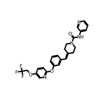 O=C(Nc1cccnc1)N1CCC(=Cc2cccc(Oc3ccc(OCC(F)(F)F)cn3)c2)CC1